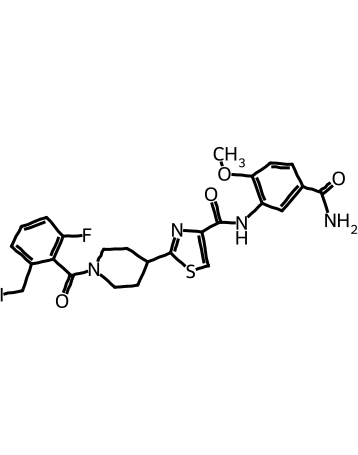 COc1ccc(C(N)=O)cc1NC(=O)c1csc(C2CCN(C(=O)c3c(F)cccc3CI)CC2)n1